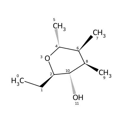 CC[C@H]1O[C@H](C)[C@@H](C)[C@@H](C)[C@@H]1O